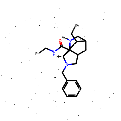 CC(=O)N1CC2CC3CN(Cc4ccccc4)[C@@H](C2CC(C)C)C31C(=O)NCC(C)C